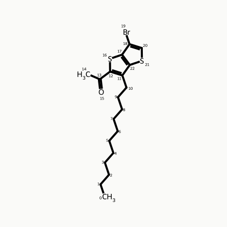 CCCCCCCCCCCc1c(C(C)=O)sc2c(Br)csc12